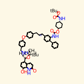 CC(C)(C)OC(=O)N[C@H]1CC[C@H](OC(=O)Nc2cc(/C=C/Cc3ccc(Oc4ccc(CNC[C@H](O[Si](C)(C)C(C)(C)C)c5ccc(O)c6[nH]c(=O)ccc56)cc4)cc3)ccc2-c2ccccc2)CC1